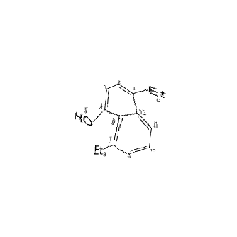 CCc1ccc(O)c2c(CC)cccc12